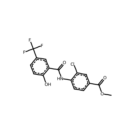 COC(=O)c1ccc(NC(=O)c2cc(C(F)(F)F)ccc2O)c(Cl)c1